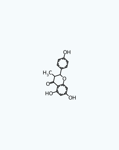 CC1C(=O)c2c(O)cc(O)cc2OC1c1ccc(O)cc1